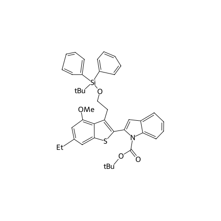 CCc1cc(OC)c2c(CCO[Si](c3ccccc3)(c3ccccc3)C(C)(C)C)c(-c3cc4ccccc4n3C(=O)OC(C)(C)C)sc2c1